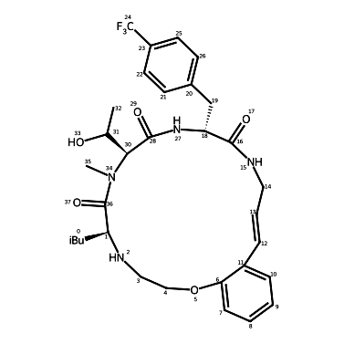 CCC(C)[C@@H]1NCCOc2ccccc2/C=C/CNC(=O)[C@@H](Cc2ccc(C(F)(F)F)cc2)NC(=O)[C@H](C(C)O)N(C)C1=O